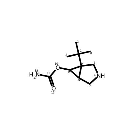 CC(C)(C)C12CNCC1C2OC(N)=O